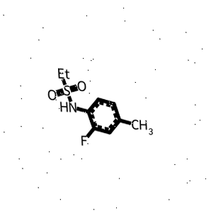 CCS(=O)(=O)Nc1ccc(C)cc1F